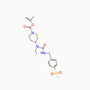 C=C(C)OC(=O)N1CCC(N(CC)C(=O)NCc2ccc(S(C)(=O)=O)cc2)CC1